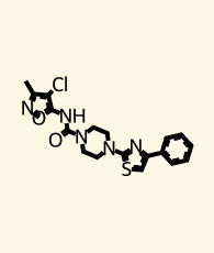 Cc1noc(NC(=O)N2CCN(c3nc(-c4ccccc4)cs3)CC2)c1Cl